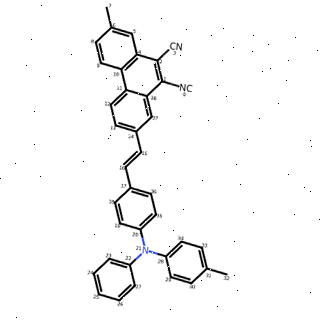 [C-]#[N+]c1c(C#N)c2cc(C)ccc2c2ccc(C=Cc3ccc(N(c4ccccc4)c4ccc(C)cc4)cc3)cc12